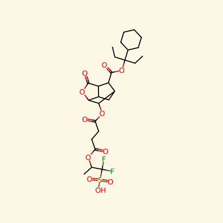 CCC(CC)(OC(=O)C1C2CC3C(OC(=O)C31)C2OC(=O)CCC(=O)OC(C)C(F)(F)S(=O)(=O)O)C1CCCCC1